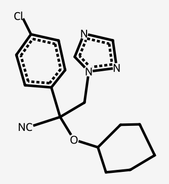 N#CC(Cn1cncn1)(OC1CCCCC1)c1ccc(Cl)cc1